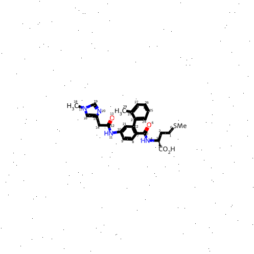 CSCC[C@H](NC(=O)c1ccc(NC(=O)Cc2cn(C)cn2)cc1-c1ccccc1C)C(=O)O